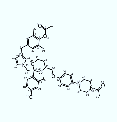 CC(=O)Oc1c(C)cc(C[n+]2ccn(C[C@]3(c4ccc(Cl)cc4Cl)OCC[C@@H](COc4ccc(N5CCN(C(C)=O)CC5)cc4)O3)c2)cc1C